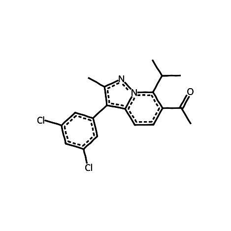 CC(=O)c1ccc2c(-c3cc(Cl)cc(Cl)c3)c(C)nn2c1C(C)C